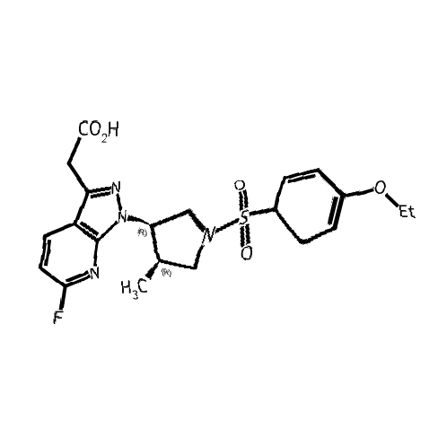 CCOC1=CCC(S(=O)(=O)N2C[C@@H](C)[C@@H](n3nc(CC(=O)O)c4ccc(F)nc43)C2)C=C1